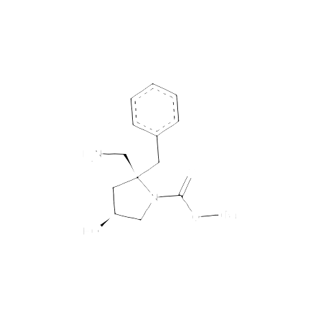 CC(C)(C)OC(=O)N1C[C@@H](O)C[C@]1(CN)Cc1ccccc1